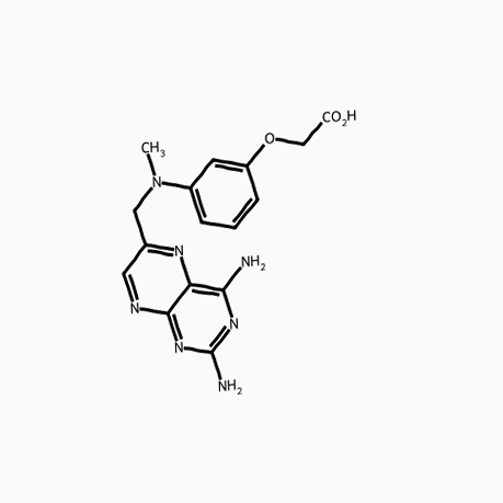 CN(Cc1cnc2nc(N)nc(N)c2n1)c1cccc(OCC(=O)O)c1